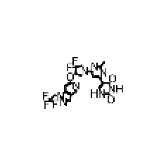 Cc1nc(-c2c[nH]c(=O)[nH]c2=O)cc(N2C[C@H](Oc3cc4c(cn3)cnn4CC(F)(F)F)C(F)(F)C2)n1